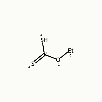 CCOC(=S)S